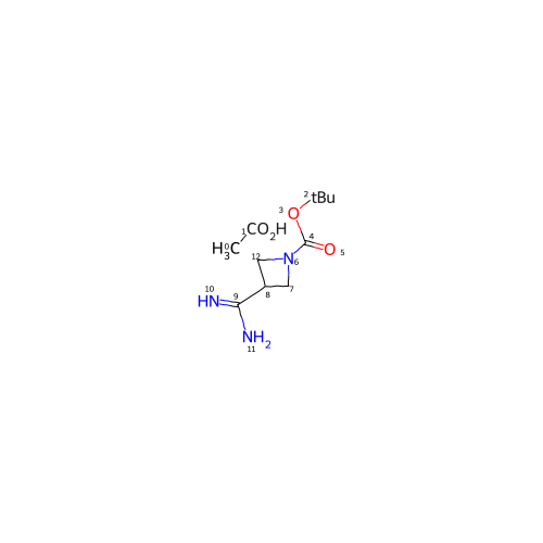 CC(=O)O.CC(C)(C)OC(=O)N1CC(C(=N)N)C1